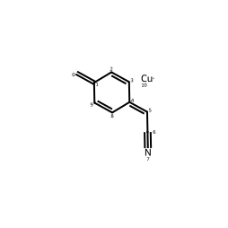 C=c1ccc(=CC#N)cc1.[Cu]